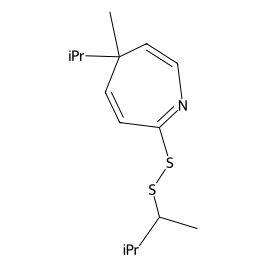 CC(C)C(C)SSC1=NC=CC(C)(C(C)C)C=C1